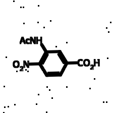 CC(=O)Nc1cc(C(=O)O)ccc1[N+](=O)[O-]